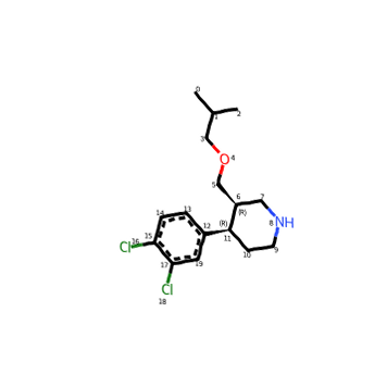 CC(C)COC[C@H]1CNCC[C@H]1c1ccc(Cl)c(Cl)c1